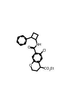 CCOC(=O)C1CCOc2cc(C(=O)NC3CCC3c3ccccc3)c(Cl)cc21